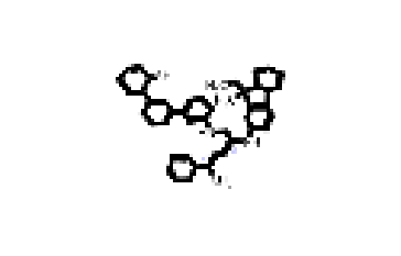 CCC1(C)C2=C(C=CC(N/C(=C/C=C(\C)C3C=CC=CC3)CNC3=CC(C4=CCCC(C5C=CC=CC5S)=C4)=CCC3)C2)C2C=CC=CC21